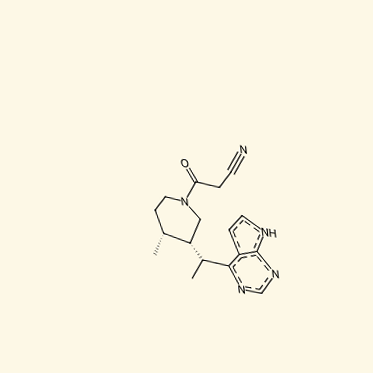 CC(c1ncnc2[nH]ccc12)[C@H]1CN(C(=O)CC#N)CC[C@H]1C